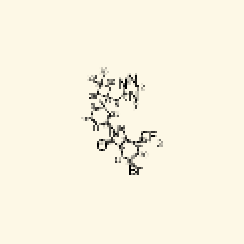 Cn1cnnc1CC1(c2cccc(N3Cc4c(cc(Br)cc4C(F)(F)F)C3=O)c2)CC(C)(C)C1